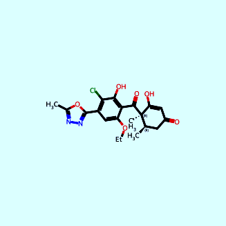 CCOc1cc(-c2nnc(C)o2)c(Cl)c(O)c1C(=O)[C@@]1(C)C(O)=CC(=O)C[C@H]1C